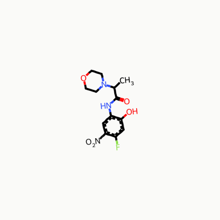 CC(C(=O)Nc1cc([N+](=O)[O-])c(F)cc1O)N1CCOCC1